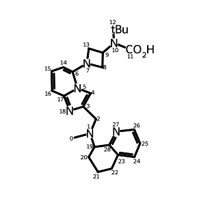 CN(Cc1cn2c(N3CC(N(C(=O)O)C(C)(C)C)C3)cccc2n1)C1CCCc2cccnc21